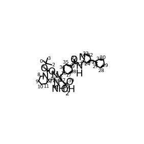 CC(C)(C)OC(=O)N1CCCC[C@H]1c1nc(-c2ccc(C(=O)Nc3cc(-c4ccccc4)ccn3)cc2)c(C(=O)O)n1N